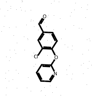 O=Cc1ccc(Oc2ccccn2)c(Cl)c1